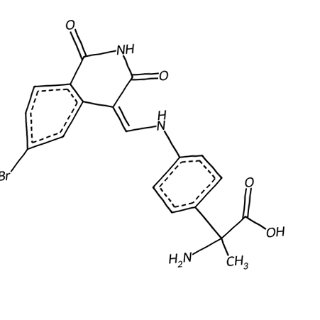 CC(N)(C(=O)O)c1ccc(NC=C2C(=O)NC(=O)c3ccc(Br)cc32)cc1